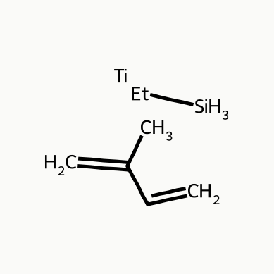 C=CC(=C)C.CC[SiH3].[Ti]